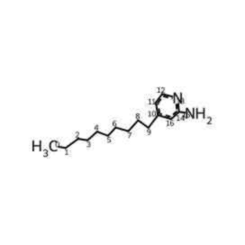 CCCCCCCCCCc1ccnc(N)c1